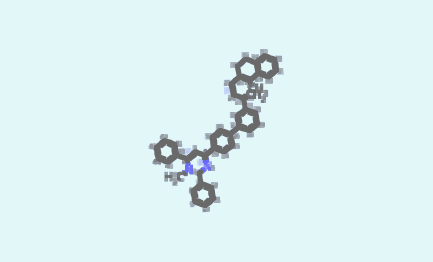 C=N/C(=C\C(=N/Cc1ccccc1)c1ccc(-c2cccc(C(=C)/C=C\C3=C(C)c4ccccc4CC3)c2)cc1)c1ccccc1